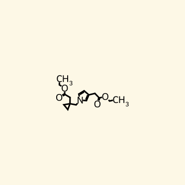 CCOC(=O)Cc1ccn(CC2(CC(=O)OCC)CC2)c1